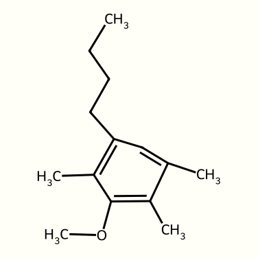 CCCCc1cc(C)c(C)c(OC)c1C